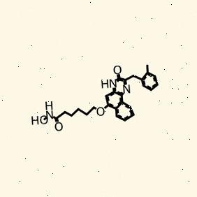 Cc1ccccc1Cc1nc2c(cc(OCCCCCC(=O)NO)c3ccccc32)[nH]c1=O